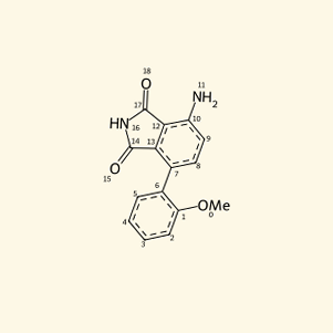 COc1ccccc1-c1ccc(N)c2c1C(=O)NC2=O